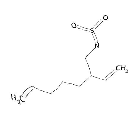 C=CCCCC(C=C)CN=S(=O)=O